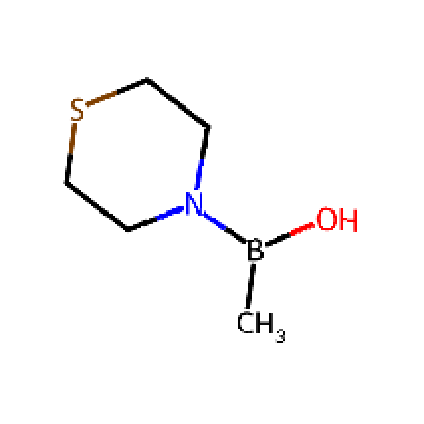 CB(O)N1CCSCC1